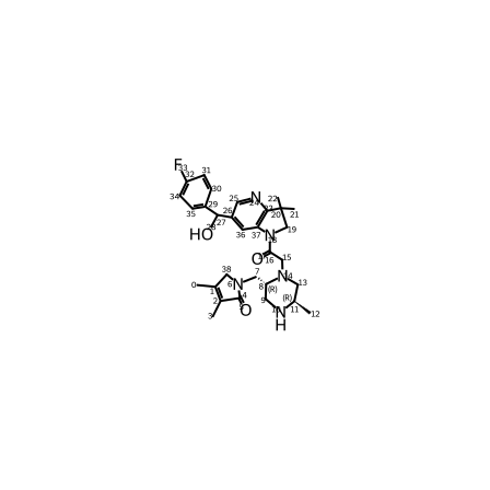 CC1=C(C)C(=O)N(C[C@H]2CN[C@H](C)CN2CC(=O)N2CC(C)(C)c3ncc(C(O)c4ccc(F)cc4)cc32)C1